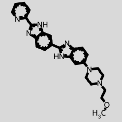 COCCN1CCN(c2ccc3nc(-c4ccc5nc(-c6ccccn6)[nH]c5c4)[nH]c3c2)CC1